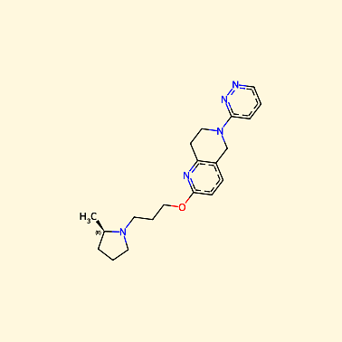 C[C@@H]1CCCN1CCCOc1ccc2c(n1)CCN(c1cccnn1)C2